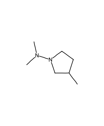 CC1CCN(N(C)C)C1